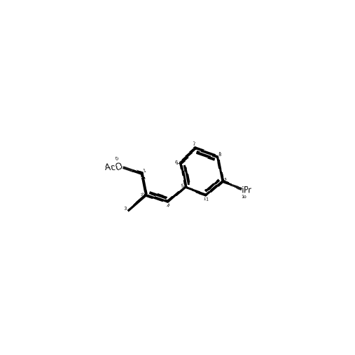 CC(=O)OCC(C)=Cc1cccc(C(C)C)c1